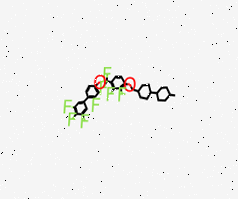 CC1CCC(C2CCC(COc3ccc(C(F)(F)Oc4ccc(-c5cc(F)c(F)c(F)c5)c(F)c4)c(F)c3F)CC2)CC1